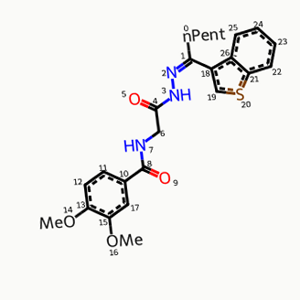 CCCCC/C(=N/NC(=O)CNC(=O)c1ccc(OC)c(OC)c1)c1csc2ccccc12